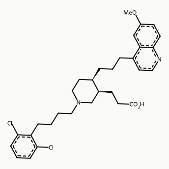 COc1ccc2nccc(CCC[C@@H]3CCN(CCCCc4c(Cl)cccc4Cl)C[C@@H]3CCC(=O)O)c2c1